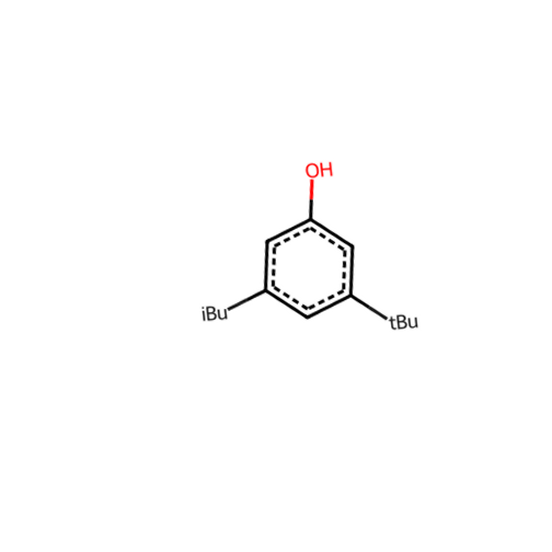 CCC(C)c1cc(O)cc(C(C)(C)C)c1